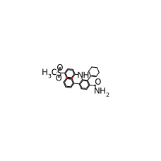 CS(=O)(=O)c1ccc(Nc2c(-c3ccccc3)ccc(C(N)=O)c2C2=CCCCC2)cc1